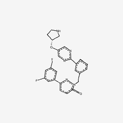 O=c1ccc(-c2cc(F)cc(F)c2)nn1Cc1cccc(-c2ncc(O[C@@H]3CCNC3)cn2)c1